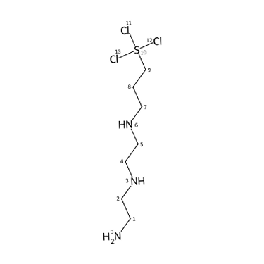 NCCNCCNCCCS(Cl)(Cl)Cl